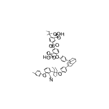 CCC(C)(C)c1ccc(S(=O)(=O)c2ccc(Oc3ccc(C45CC6CC(C4)CC(c4ccc(OC(C)(CC)C(CC)(CC)c7cccc(Oc8ccc(C)cc8)c7C#N)cc4)(C6)C5)cc3)c(S(=O)(=O)O)c2)cc1S(=O)(=O)O